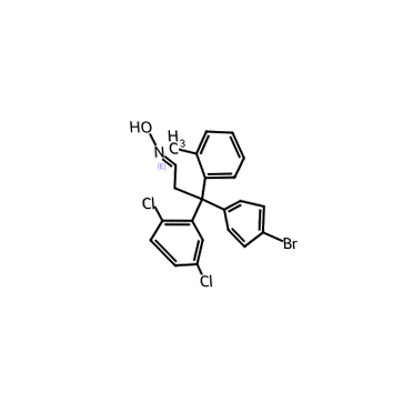 Cc1ccccc1C(C/C=N/O)(c1ccc(Br)cc1)c1cc(Cl)ccc1Cl